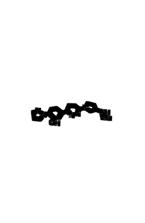 CC(C)(C)NC1CCN(c2ccc(-c3ccc(-n4cccn4)c(O)c3)nn2)C1